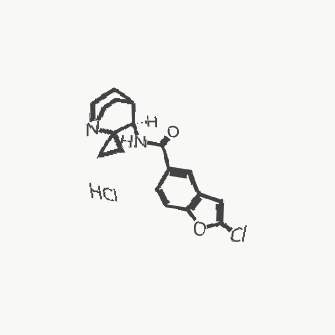 Cl.O=C(N[C@@H]1C2CCN(CC2)C12CC2)c1ccc2oc(Cl)cc2c1